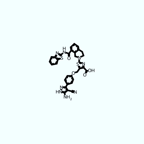 N#Cc1c(-c2ccc(OCc3sc(N4CCc5cccc(C(=O)Nc6nc7ccccc7s6)c5C4)nc3C(=O)O)cc2)n[nH]c1N